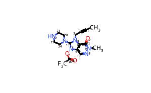 CC#CCN1c2c(cnn(C)c2=O)N(OC(=O)C(F)(F)F)C1N1CCNCC1